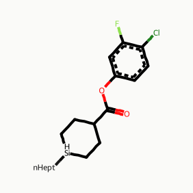 CCCCCCC[SiH]1CCC(C(=O)Oc2ccc(Cl)c(F)c2)CC1